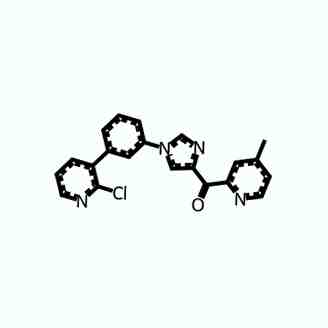 Cc1ccnc(C(=O)c2cn(-c3cccc(-c4cccnc4Cl)c3)cn2)c1